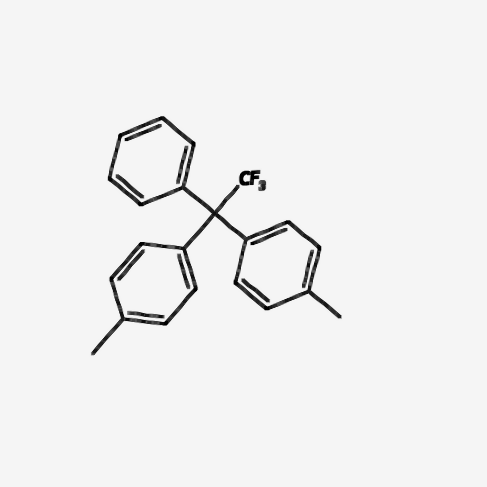 Cc1ccc(C(c2ccccc2)(c2ccc(C)cc2)C(F)(F)F)cc1